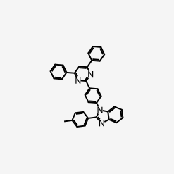 Cc1ccc(-c2nc3ccccc3n2-c2ccc(-c3nc(-c4ccccc4)cc(-c4ccccc4)n3)cc2)cc1